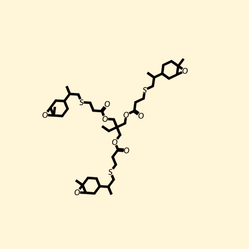 CCC(COC(=O)CCSCC(C)C1CCC2(C)OC2C1)(COC(=O)CCSCC(C)C1CCC2(C)OC2C1)COC(=O)CCSCC(C)C1CCC2(C)OC2C1